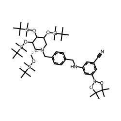 CC1(C)OB(c2cc(C#N)cc(NCc3ccc(CN4CC(O[Si](C)(C)C(C)(C)C)C(O[Si](C)(C)C(C)(C)C)C(O[Si](C)(C)C(C)(C)C)[C@H]4CO[Si](C)(C)C(C)(C)C)cc3)c2)OC1(C)C